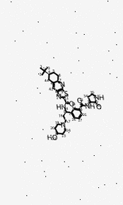 CC(C)(C)[C@H]1CCc2nc3sc(C(=O)N[C@H](CCN4CCC(O)CC4)c4cccc(C(=O)NC5CCNC5=O)c4)nc3cc2C1